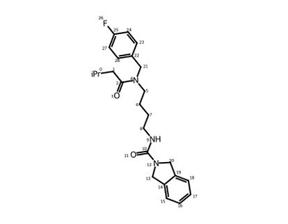 CC(C)CC(=O)N(CCCCNC(=O)N1Cc2ccccc2C1)Cc1ccc(F)cc1